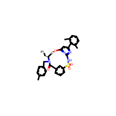 Cc1ccc(CN2C(=O)c3cccc(c3)S(=O)(=O)Nc3nc(cc(-c4c(C)cccc4C)n3)OC[C@H]2CC(C)C)cc1